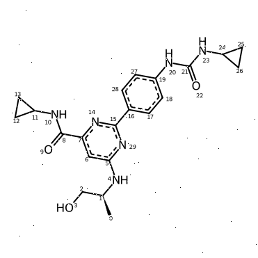 C[C@@H](CO)Nc1cc(C(=O)NC2CC2)nc(-c2ccc(NC(=O)NC3CC3)cc2)n1